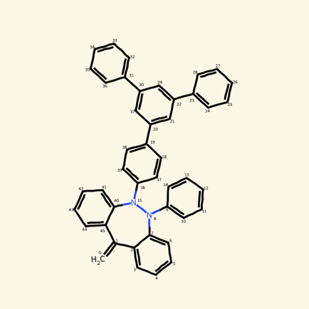 C=C1c2ccccc2N(c2ccccc2)N(c2ccc(-c3cc(-c4ccccc4)cc(-c4ccccc4)c3)cc2)c2ccccc21